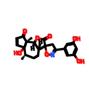 C[C@H]1CC[C@@H]2[C@@H](OC(=O)C23CC(c2cc(O)cc(O)c2)=NO3)[C@]2(C)C(=O)C=C[C@@]12O